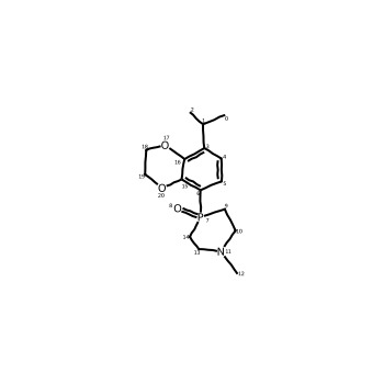 CC(C)c1ccc(P2(=O)CCN(C)CC2)c2c1OCCO2